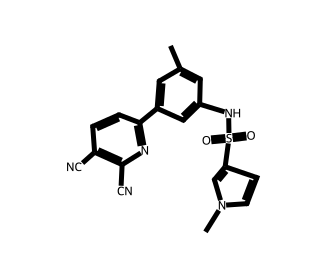 Cc1cc(NS(=O)(=O)c2ccn(C)c2)cc(-c2ccc(C#N)c(C#N)n2)c1